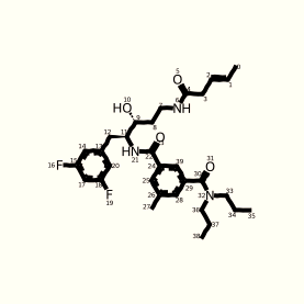 C/C=C/CC(=O)NCC[C@@H](O)[C@H](Cc1cc(F)cc(F)c1)NC(=O)c1cc(C)cc(C(=O)N(CCC)CCC)c1